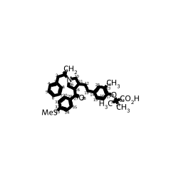 C=C(Cc1ccccc1)N1CC(CCc2ccc(OC(C)(C)C(=O)O)c(C)c2)C(C(=O)c2ccc(SC)cc2)C1